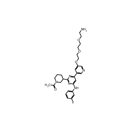 CC(=O)N1CCCC(c2nc(Nc3cccc(F)c3)cc(-c3cncc(OCCOCCOCCN)c3)n2)C1